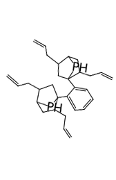 C=CCC1CC2(c3ccccc3C34CC(CC=C)C(CC3CC=C)P4)PC1CC2CC=C